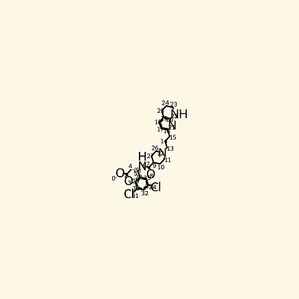 COC(=O)C[C@H](NC(=O)C1CCN(CCCc2ccc3c(n2)NCCC3)CC1)c1cc(Cl)cc(Cl)c1